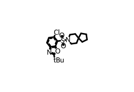 CC(C)(C)c1nc2ccc(Cl)c(S(=O)(=O)N3CCC4(CCCC4)CC3)c2o1